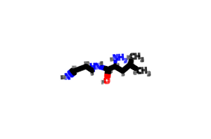 CC(C)C[C@H](N)C(=O)NCCC#N